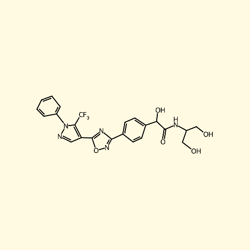 O=C(NC(CO)CO)C(O)c1ccc(-c2noc(-c3cnn(-c4ccccc4)c3C(F)(F)F)n2)cc1